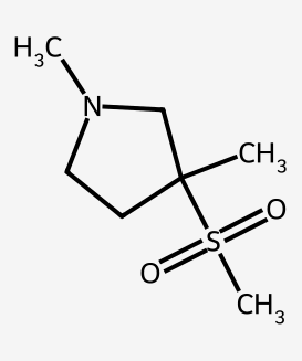 CN1CCC(C)(S(C)(=O)=O)C1